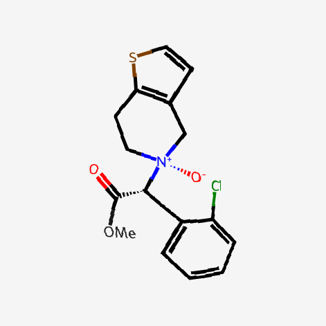 COC(=O)[C@@H](c1ccccc1Cl)[N@@+]1([O-])CCc2sccc2C1